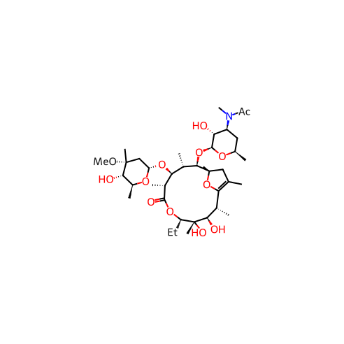 CC[C@H]1OC(=O)[C@H](C)[C@@H](O[C@H]2C[C@@](C)(OC)[C@@H](O)[C@H](C)O2)[C@H](C)[C@@H](O[C@@H]2O[C@H](C)C[C@H](N(C)C(C)=O)[C@H]2O)[C@]2(C)CC(C)=C(O2)[C@H](C)[C@@H](O)[C@]1(C)O